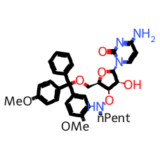 CCCCCNO[C@H]1[C@@H](O)[C@H](n2ccc(N)nc2=O)O[C@@H]1COC(c1ccccc1)(c1ccc(OC)cc1)c1ccc(OC)cc1